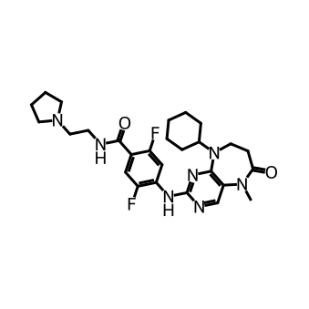 CN1C(=O)CCN(C2CCCCC2)c2nc(Nc3cc(F)c(C(=O)NCCN4CCCC4)cc3F)ncc21